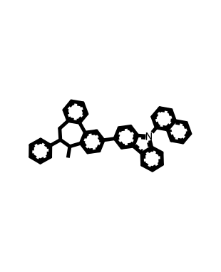 CC1c2ccc(-c3ccc4c(c3)c3ccccc3n4-c3cccc4ccccc34)cc2-c2ccccc2CC1c1ccccc1